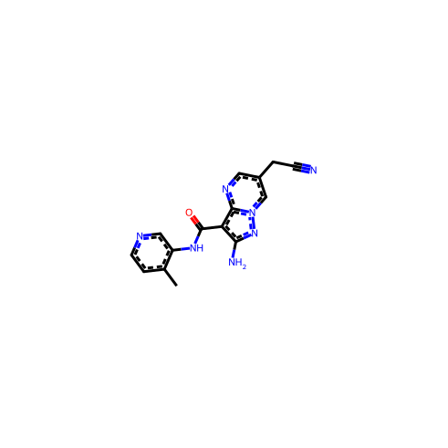 Cc1ccncc1NC(=O)c1c(N)nn2cc(CC#N)cnc12